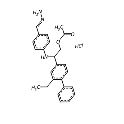 CCc1cc(C(COC(C)=O)Nc2ccc(C=NN)cc2)ccc1-c1ccccc1.Cl